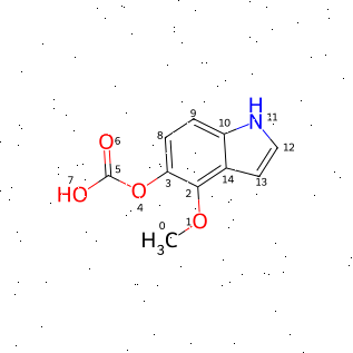 COc1c(OC(=O)O)ccc2[nH]ccc12